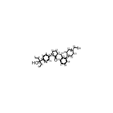 CCC(O)(CC)c1ccc(N2CC[C@@H](Cc3ccccc3N3CCN(CI)CC3)C2=O)cn1